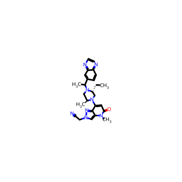 CC[C@@H]1CN(c2cc(=O)n(C)c3cn(CC#N)nc23)[C@@H](C)CN1C(C)c1ccc2nccnc2c1